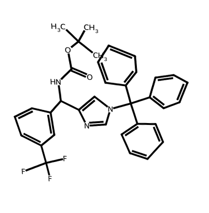 CC(C)(C)OC(=O)NC(c1cccc(C(F)(F)F)c1)c1cn(C(c2ccccc2)(c2ccccc2)c2ccccc2)cn1